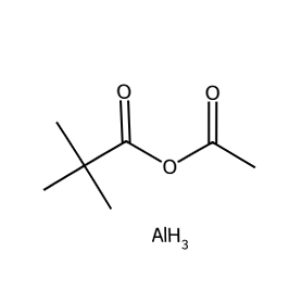 CC(=O)OC(=O)C(C)(C)C.[AlH3]